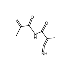 C=C(C)C(=O)NC(=O)C(C)=C=N